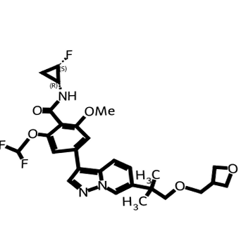 COc1cc(-c2cnn3cc(C(C)(C)COCC4COC4)ccc23)cc(OC(F)F)c1C(=O)N[C@@H]1C[C@@H]1F